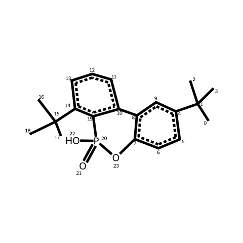 CC(C)(C)c1ccc2c(c1)-c1cccc(C(C)(C)C)c1P(=O)(O)O2